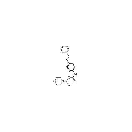 O=C(Nc1ccc(SCc2ccccc2)nn1)OC(=O)N1CCOCC1